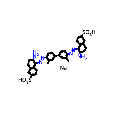 Cc1cc(-c2ccc(N=Nc3c(N)ccc4cc(S(=O)(=O)O)ccc34)c(C)c2)ccc1N=Nc1c(N)ccc2cc(S(=O)(=O)O)ccc12.[Na+]